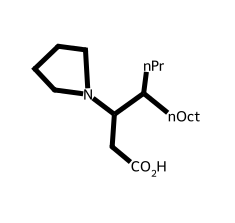 CCCCCCCCC(CCC)C(CC(=O)O)N1CCCC1